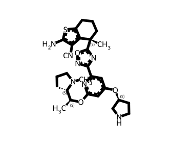 C[C@H](Oc1cc(O[C@H]2CCNC2)cc(-c2noc([C@@]3(C)CCCc4sc(N)c(C#N)c43)n2)n1)[C@@H]1CCCN1C